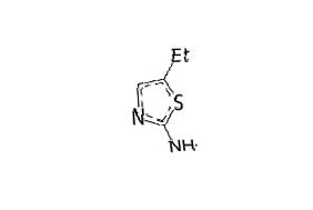 CCc1cnc([NH])s1